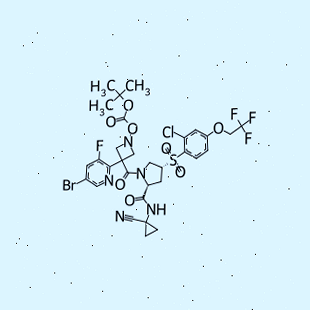 CC(C)(C)OC(=O)ON1CC(C(=O)N2C[C@H](S(=O)(=O)c3ccc(OCC(F)(F)F)cc3Cl)C[C@H]2C(=O)NC2(C#N)CC2)(c2ncc(Br)cc2F)C1